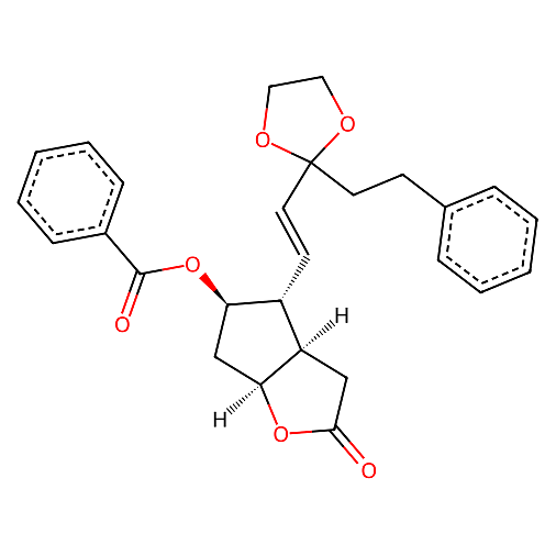 O=C1C[C@@H]2[C@@H](/C=C/C3(CCc4ccccc4)OCCO3)[C@H](OC(=O)c3ccccc3)C[C@@H]2O1